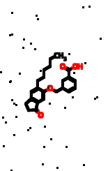 CCCCCCc1cc2c(cc1OCC1C=CC=C(C(=O)O)C1)C(=O)CC2